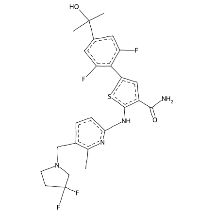 Cc1nc(Nc2sc(-c3c(F)cc(C(C)(C)O)cc3F)cc2C(N)=O)ccc1CN1CCC(F)(F)C1